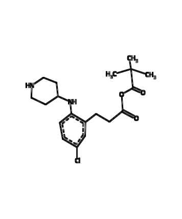 CC(C)(C)C(=O)OC(=O)CCc1cc(Cl)ccc1NC1CCNCC1